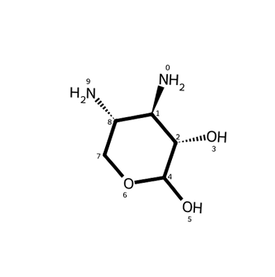 N[C@H]1[C@H](O)C(O)OC[C@@H]1N